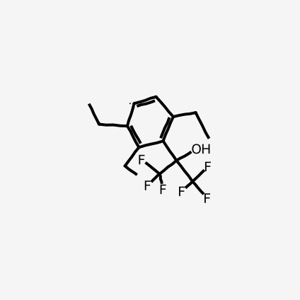 CCc1[c]cc(CC)c(C(O)(C(F)(F)F)C(F)(F)F)c1CC